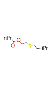 CCCC(=O)OCCSCCC(C)C